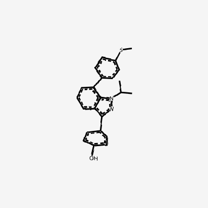 CSc1ccc(-c2cccc3c(-c4ccc(O)cc4)nn(C(C)C)c23)cc1